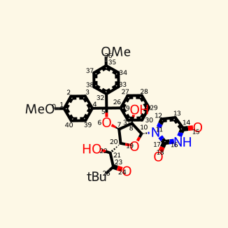 COc1ccc(C(O[C@H]2[C@@H](O)[C@H](n3ccc(=O)[nH]c3=O)O[C@@H]2C(O)C(=O)C(C)(C)C)(c2ccccc2)c2ccc(OC)cc2)cc1